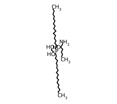 CCCCCC(O)CN.CCCCCCCCCCCCCCCCCC[P]CCCCCCCCCCCCCCCCCC.OCCO